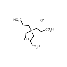 O=C(O)CC[P+](CO)(CCC(=O)O)CCC(=O)O.[Cl-]